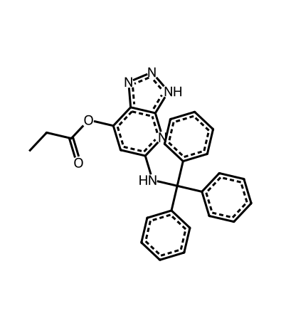 CCC(=O)Oc1cc(NC(c2ccccc2)(c2ccccc2)c2ccccc2)nc2[nH]nnc12